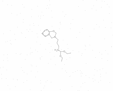 CCOC(OCC)[SiH2]CCCN1COc2ccccc2C1